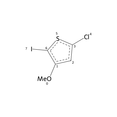 COc1cc(Cl)sc1I